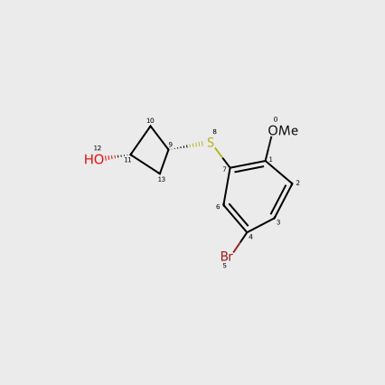 COc1ccc(Br)cc1S[C@H]1C[C@@H](O)C1